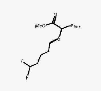 CCCCCC(SCCCCC(F)F)C(=O)OC